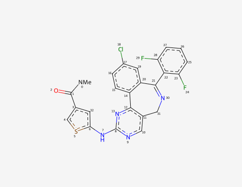 CNC(=O)c1csc(Nc2ncc3c(n2)-c2ccc(Cl)cc2C(c2c(F)cccc2F)=NC3)c1